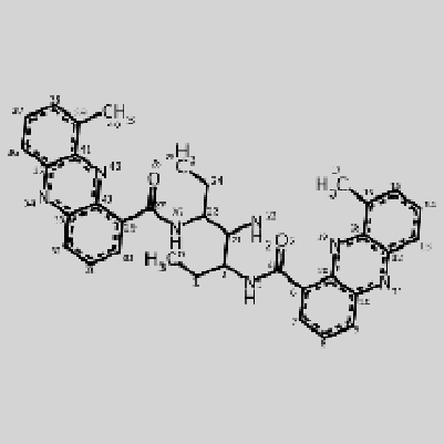 CCC(NC(=O)c1cccc2nc3cccc(C)c3nc12)C(N)C(CC)NC(=O)c1cccc2nc3cccc(C)c3nc12